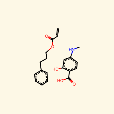 C=CC(=O)OCCCc1ccccc1.CNc1ccc(C(=O)O)c(O)c1